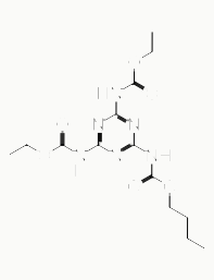 CCCCOC(=O)Nc1nc(NC(=O)OCC)nc(NC(=O)OCC)n1